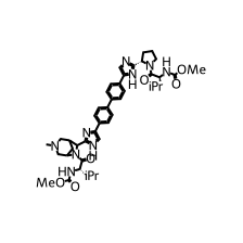 COC(=O)N[C@H](C(=O)N1C2CC(CN(C)C2)C1c1nc(-c2ccc(-c3ccc(-c4cnc([C@@H]5CCCN5C(=O)[C@@H](NC(=O)OC)C(C)C)[nH]4)cc3)cc2)c[nH]1)C(C)C